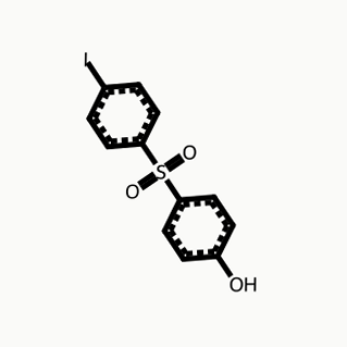 O=S(=O)(c1ccc(O)cc1)c1ccc(I)cc1